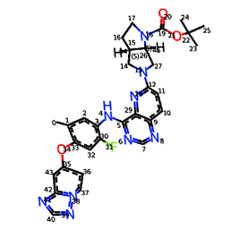 Cc1cc(Nc2ncnc3ccc(N4C[C@@H]5CCN(C(=O)OC(C)(C)C)[C@@H]5C4)nc23)c(F)cc1Oc1ccn2ncnc2c1